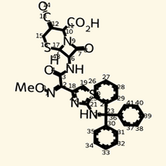 CO/N=C(\C(=O)NC1C(=O)N2C(C(=O)O)C(=C=O)CS[C@H]12)c1csc(NC(c2ccccc2)(c2ccccc2)c2ccccc2)n1